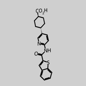 O=C(Nc1ccc([C@H]2CC[C@H](C(=O)O)CC2)cn1)c1cc2ccccc2s1